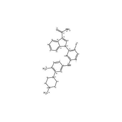 Cc1ccc(Nc2ncc(F)c(-n3cc(C(N)=O)c4ccccc43)n2)cc1N1CCN(C)CC1